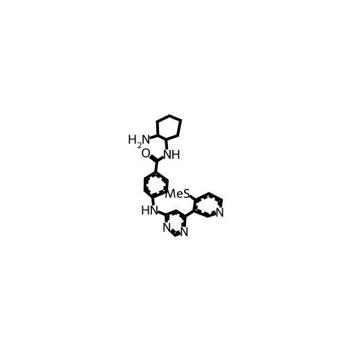 CSc1ccncc1-c1cc(Nc2ccc(C(=O)NC3CCCCC3N)cc2)ncn1